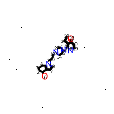 O=C1CCCc2c1ccn2CCCN1CCN(c2nccc3occc23)CC1